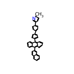 Cc1ccc(-c2ccc(-c3ccc(-c4c5ccccc5c(-c5ccc6ccccc6c5)c5ccccc45)cc3)cc2)cn1